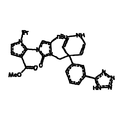 CCCCc1cn(-c2c(C(=O)OC)ccn2C(C)C)c(=O)n1CC1(c2cccc(-c3nnn[nH]3)c2)C=CNC=C1